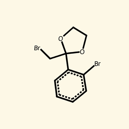 BrCC1(c2ccccc2Br)OCCO1